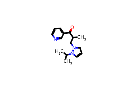 CC(CN1CC=CN1C(C)C)C(=O)c1cccnc1